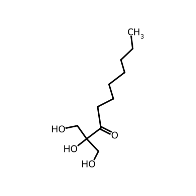 CCCCCCCC(=O)C(O)(CO)CO